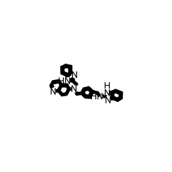 C1=CC2=CC(N(Cc3ccc(CNc4nc5ccccc5[nH]4)cc3)Cc3nc4ccccc4[nH]3)CCC2N=C1